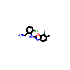 [CH2]c1ccc2nc(Nc3c(Cl)cccc3CN)oc2c1F